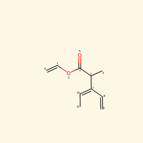 C=COC(=O)C(C)C(C=C)=CC